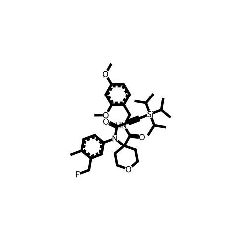 COc1ccc(CNC(=O)C2(N(C(=O)C#C[Si](C(C)C)(C(C)C)C(C)C)c3ccc(C)c(CF)c3)CCOCC2)c(OC)c1